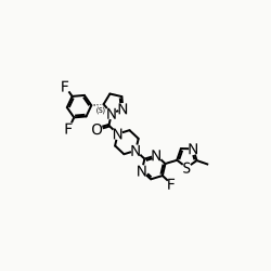 Cc1ncc(-c2nc(N3CCN(C(=O)N4N=CC[C@H]4c4cc(F)cc(F)c4)CC3)ncc2F)s1